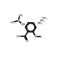 N.N.N.O=C(O)c1ccccc1OI.OB(O)O